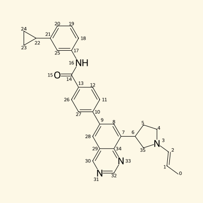 CC=CN1CCC(c2cc(-c3ccc(C(=O)Nc4cccc(C5CC5)c4)cc3)cc3cncnc23)C1